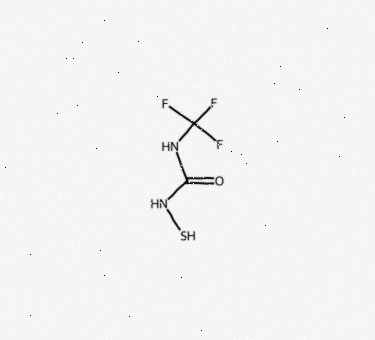 O=C(NS)NC(F)(F)F